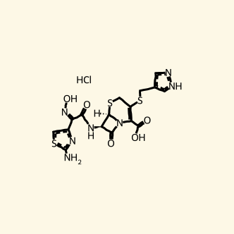 Cl.Nc1nc(/C(=N/O)C(=O)N[C@@H]2C(=O)N3C(C(=O)O)=C(SCc4cn[nH]c4)CS[C@H]23)cs1